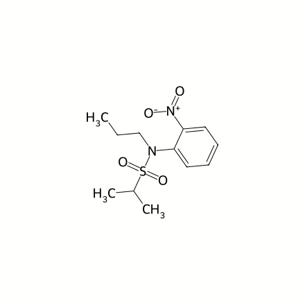 CCCN(c1ccccc1[N+](=O)[O-])S(=O)(=O)C(C)C